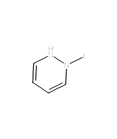 IN1C=CC=CN1